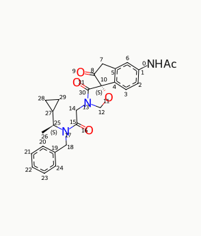 CC(=O)Nc1ccc2c(c1)CC(=O)[C@@]21OCN(CC(=O)N(Cc2ccccc2)[C@@H](C)C2CC2)C1=O